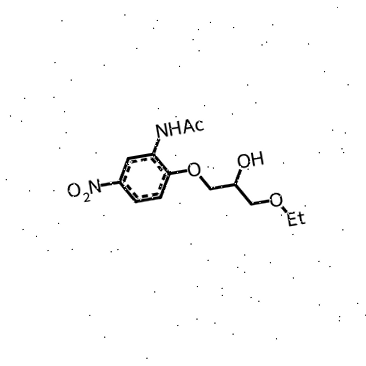 CCOCC(O)COc1ccc([N+](=O)[O-])cc1NC(C)=O